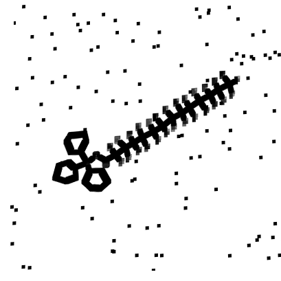 O=C(OS(c1ccccc1)(c1ccccc1)c1ccccc1)C(F)(F)C(F)(F)C(F)(F)C(F)(F)C(F)(F)C(F)(F)C(F)(F)C(F)(F)C(F)(F)C(F)(F)C(F)(F)C(F)(F)C(F)(F)F